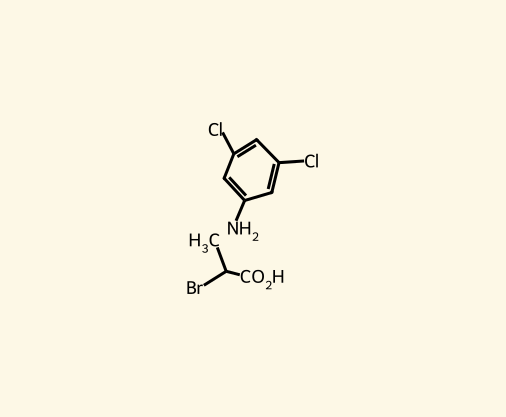 CC(Br)C(=O)O.Nc1cc(Cl)cc(Cl)c1